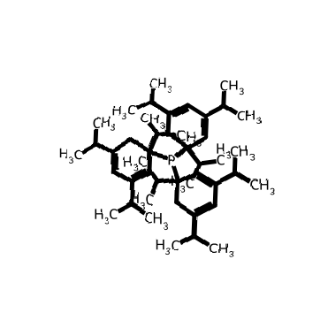 CC(C)C1=CC(C(C)C)(P(C2(C(C)C)C=C(C(C)C)C=C(C(C)C)C2)C2(C(C)C)C=C(C(C)C)C=C(C(C)C)C2)CC(C(C)C)=C1